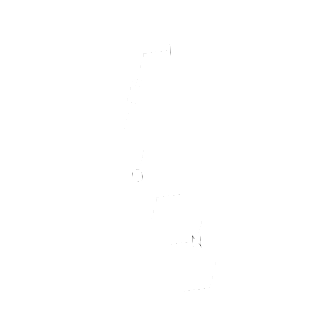 CC(I)C#CCCOC1CCN(CC(C)C)CC1